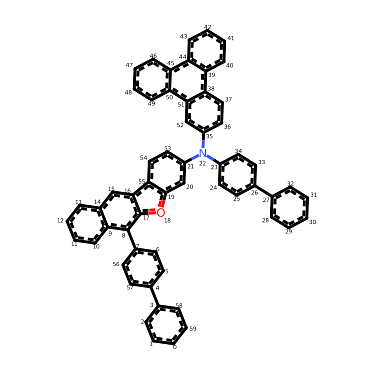 c1ccc(-c2ccc(-c3c4ccccc4cc4c3oc3cc(N(c5ccc(-c6ccccc6)cc5)c5ccc6c7ccccc7c7ccccc7c6c5)ccc34)cc2)cc1